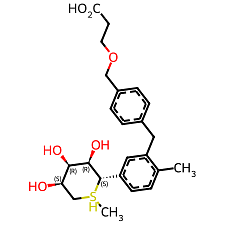 Cc1ccc([C@H]2[C@H](O)[C@H](O)[C@H](O)C[SH]2C)cc1Cc1ccc(COCCC(=O)O)cc1